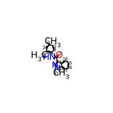 Cc1ccc(NC(=O)c2nn(C)c3ccccc23)c(C)c1